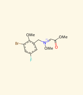 COC(=O)/C=[N+](/Cc1cc(F)cc(Br)c1OC)OC